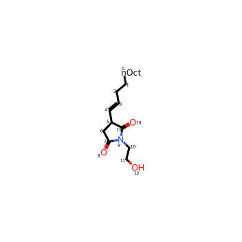 CCCCCCCCCCC=CC1CC(=O)N(CCO)C1=O